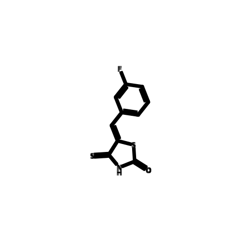 O=C1NC(=S)/C(=C/c2cccc(F)c2)S1